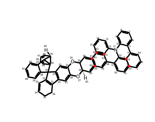 C1=CCCC(c2ccccc2N(c2cccc(C3=CC4Oc5cc6c(cc5O[C@@H]4C=C3)C3=C(C=CCC3)C63c4ccccc4C4[C@@H]5C=CC=CC453)c2)c2ccccc2-c2ccccc2)=C1